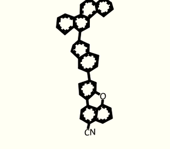 N#Cc1ccc2c3c(cccc13)Oc1cc(-c3ccc4cc(-c5cc6c7ccccc7ccc6c6ccccc56)ccc4c3)ccc1-2